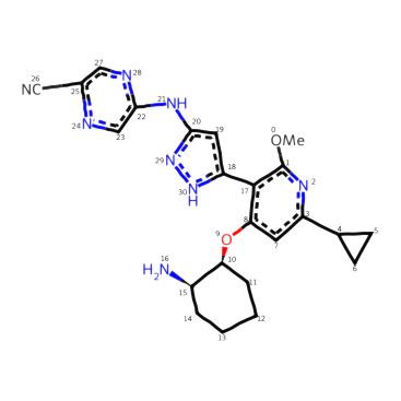 COc1nc(C2CC2)cc(O[C@H]2CCCC[C@H]2N)c1-c1cc(Nc2cnc(C#N)cn2)n[nH]1